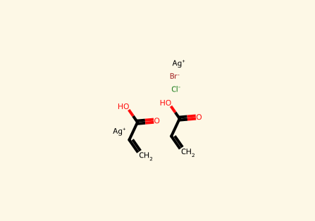 C=CC(=O)O.C=CC(=O)O.[Ag+].[Ag+].[Br-].[Cl-]